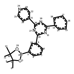 CC1(C)OB(c2cccc(-c3nc(-c4ccccc4)nc(-c4ccncc4)n3)c2)OC1(C)C